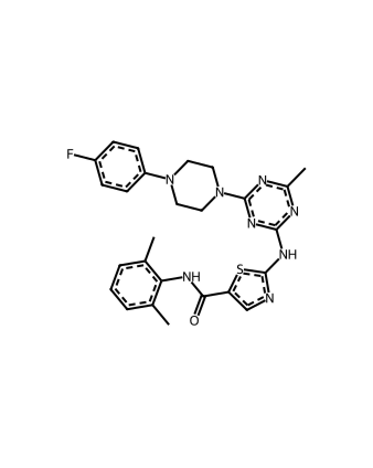 Cc1nc(Nc2ncc(C(=O)Nc3c(C)cccc3C)s2)nc(N2CCN(c3ccc(F)cc3)CC2)n1